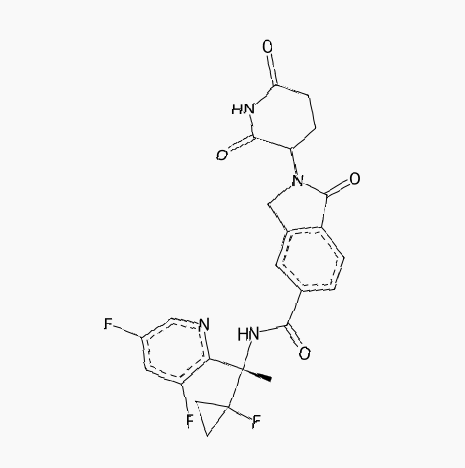 C[C@](NC(=O)c1ccc2c(c1)CN(C1CCC(=O)NC1=O)C2=O)(c1ncc(F)cc1F)C1(F)CC1